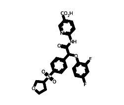 O=C(O)c1ccc(NC(=O)C(Oc2ccc(F)cc2F)c2ccc(S(=O)(=O)C3CCOC3)cc2)nc1